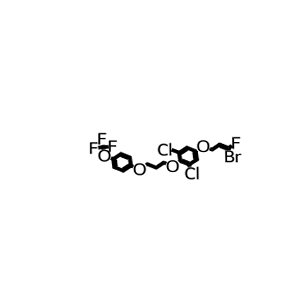 FC(Br)=CCOc1cc(Cl)c(OCCCOc2ccc(OC(F)(F)F)cc2)c(Cl)c1